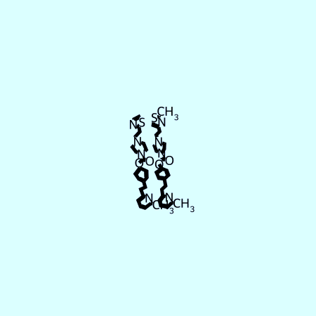 Cc1cccc(CCc2ccc(OC(=O)N3CCN(CCc4csc(C)n4)CC3)cc2)n1.Cc1cccc(CCc2ccc(OC(=O)N3CCN(CCc4nccs4)CC3)cc2)n1